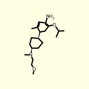 COCCN(C)[C@H]1CC[C@@H](C2CC(OC(C)C)=C(N)C=C2C)CC1